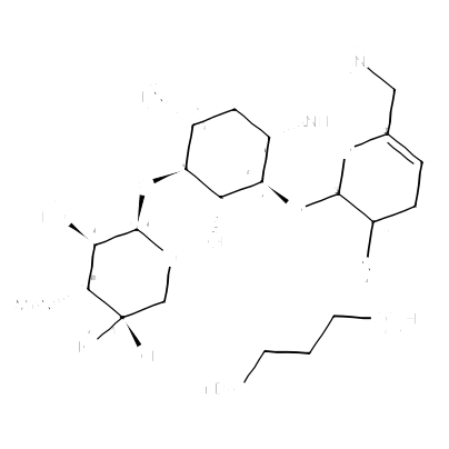 CCCCCCCCCCCCCC(=O)O.CN[C@@H]1[C@@H](O)[C@@H](O[C@@H]2[C@@H](O)[C@H](OC3OC(CN)=CCC3N)[C@@H](N)C[C@H]2N)OC[C@]1(C)O